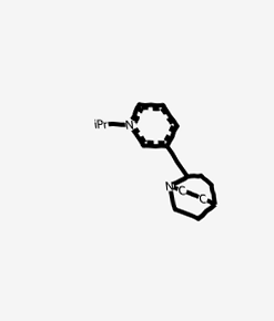 CC(C)[n+]1cccc(C2CCC3CCN2CC3)c1